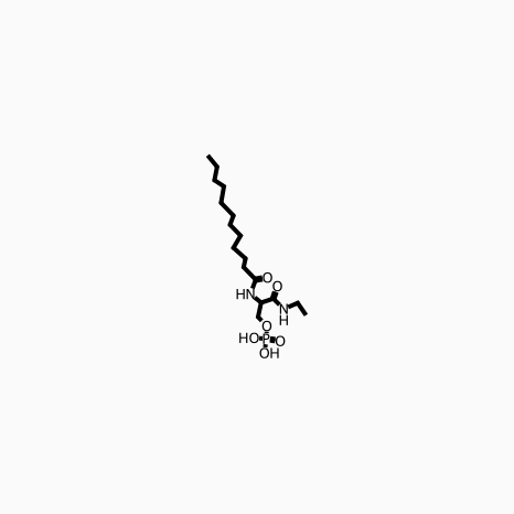 CCCCCCCCCCCC(=O)NC(COP(=O)(O)O)C(=O)NCC